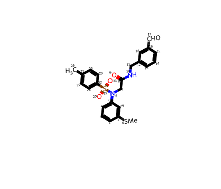 CSc1cccc(N(CC(=O)NCc2cccc(C=O)c2)S(=O)(=O)c2ccc(C)cc2)c1